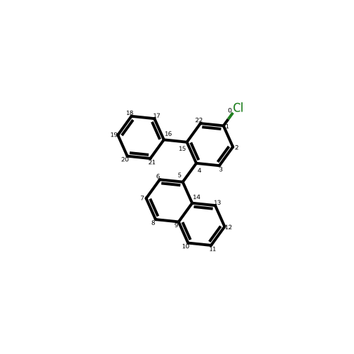 Clc1ccc(-c2cccc3ccccc23)c(-c2ccccc2)c1